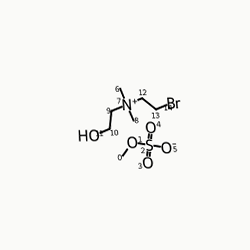 COS(=O)(=O)[O-].C[N+](C)(CCO)CCBr